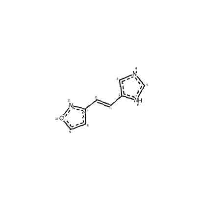 C(=Cc1cnc[nH]1)c1ccon1